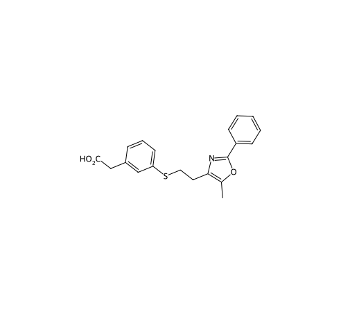 Cc1oc(-c2ccccc2)nc1CCSc1cccc(CC(=O)O)c1